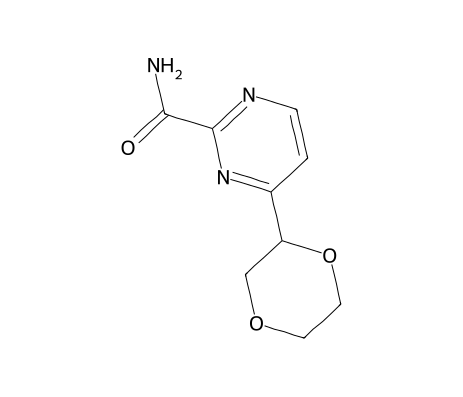 NC(=O)c1nccc(C2COCCO2)n1